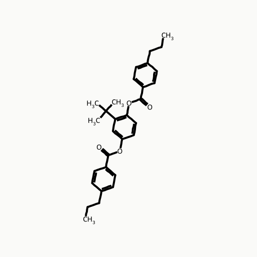 CCCc1ccc(C(=O)Oc2ccc(OC(=O)c3ccc(CCC)cc3)c(C(C)(C)C)c2)cc1